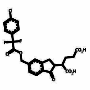 O=C(O)CCC(C(=O)O)C1Cc2cc(COC(=O)C(F)(F)c3ccc(Cl)cc3)ccc2C1=O